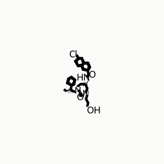 CC[C@H](CN1CC[C@H](CNC(=O)c2ccc3cc(Cl)ccc3c2)C[C@H](CCCCO)[N+]1=O)c1ccccc1